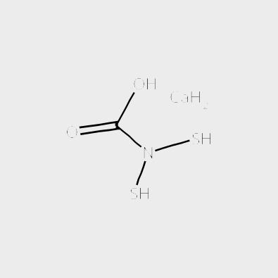 O=C(O)N(S)S.[CaH2]